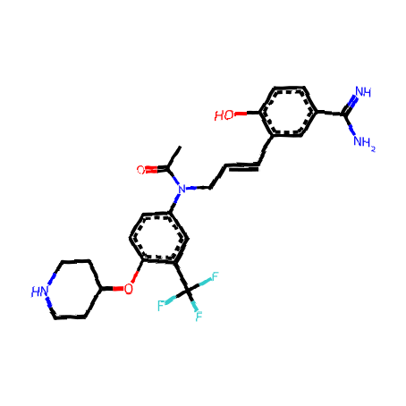 CC(=O)N(CC=Cc1cc(C(=N)N)ccc1O)c1ccc(OC2CCNCC2)c(C(F)(F)F)c1